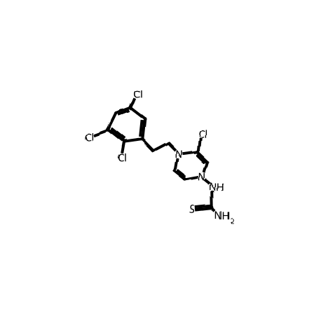 NC(=S)NN1C=CN(CCc2cc(Cl)cc(Cl)c2Cl)C(Cl)=C1